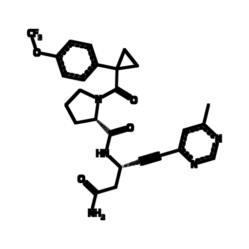 Cc1cc(C#C[C@H](CC(N)=O)NC(=O)[C@@H]2CCCN2C(=O)C2(c3ccc(OC(F)(F)F)cc3)CC2)ncn1